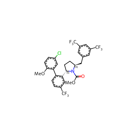 COC(=O)N1[C@H](Cc2cc(C(F)(F)F)cc(C(F)(F)F)c2)CC[C@H]1c1cc(C(F)(F)F)ccc1-c1cc(Cl)ccc1OC